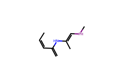 C=C(/C=C\C)N/C(C)=C/PC